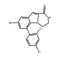 N#Cc1cc(-c2ccc(Cl)cc2Cl)c2c(c1)cc1n2CCNC1=O